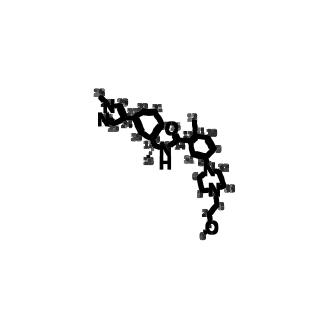 COCCN1CCN(c2ccc(C)c(C(=O)N[C@H](C)c3cccc(-c4cnn(C)c4)c3)c2)CC1